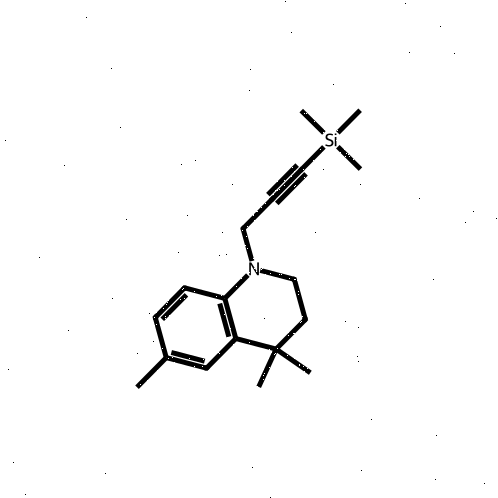 Cc1ccc2c(c1)C(C)(C)CCN2CC#C[Si](C)(C)C